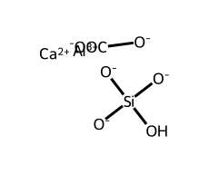 O=C([O-])[O-].[Al+3].[Ca+2].[O-][Si]([O-])([O-])O